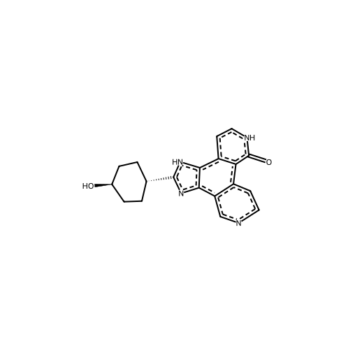 O=c1[nH]ccc2c3[nH]c([C@H]4CC[C@H](O)CC4)nc3c3cnccc3c12